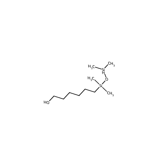 C[SiH](C)O[Si](C)(C)CCCCCCO